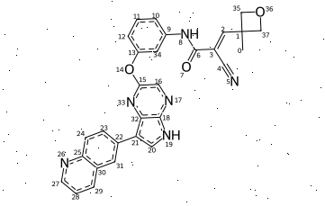 CC1(/C=C(\C#N)C(=O)Nc2cccc(Oc3cnc4[nH]cc(-c5ccc6ncccc6c5)c4n3)c2)COC1